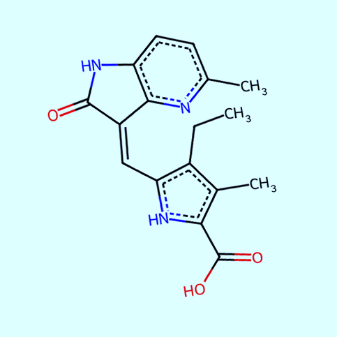 CCc1c(C=C2C(=O)Nc3ccc(C)nc32)[nH]c(C(=O)O)c1C